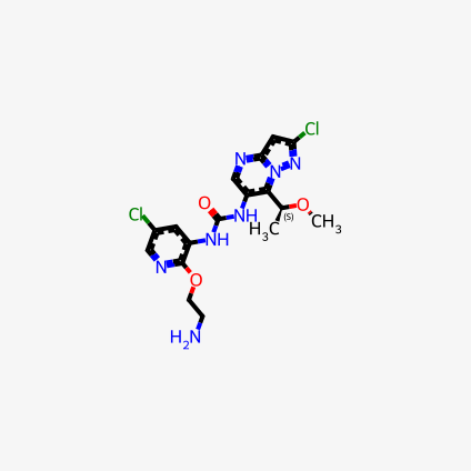 CO[C@@H](C)c1c(NC(=O)Nc2cc(Cl)cnc2OCCN)cnc2cc(Cl)nn12